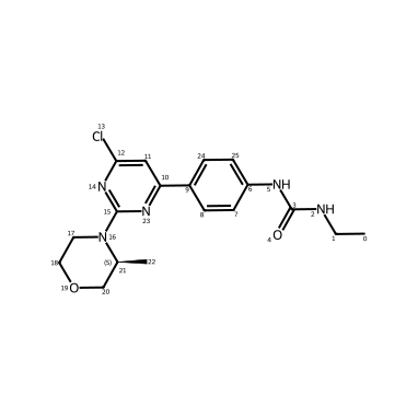 CCNC(=O)Nc1ccc(-c2cc(Cl)nc(N3CCOC[C@@H]3C)n2)cc1